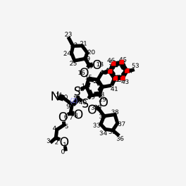 COC(C)CCOC(=O)/C(C#N)=C1/Sc2c(OC(=O)C3CCC(C)CC3)c3c(c(OC(=O)C4CCC(C)CC4)c2S1)C1c2ccccc2C3c2ccc(C)cc21